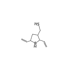 C=CC1BC(C=C)C(CS)C1